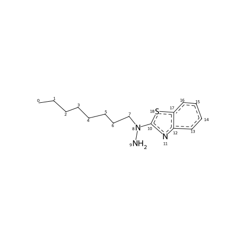 CCCCCCCCN(N)c1nc2ccccc2s1